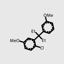 CCC(CC)(c1cccc(OC)c1)c1cc(OC)ccc1Cl